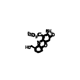 CCOC(=O)c1c2nc3c(CO)cccc3oc-2cc(=O)c1N